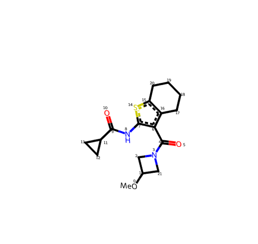 COC1CN(C(=O)c2c(NC(=O)C3CC3)sc3c2CCCC3)C1